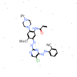 C=CC(=O)Nc1cc(N=Nc2ncc(Cl)c(N=Nc3ccccc3C#N)n2)c(OC)cc1N1CCN(C(C)C)CC1